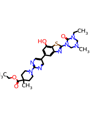 CCOC(=O)C1(C)CCN(c2ncc(-c3cc(O)c4sc(N5CN(C)CN(CC)C5=O)nc4c3)cn2)CC1